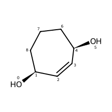 O[C@@H]1C=C[C@H](O)CCC1